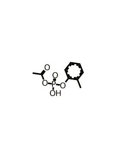 CC(=O)OP(=O)(O)Oc1ccccc1C